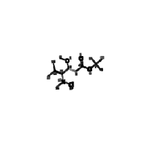 CO[C@H](CC(=O)OC(C)(C)C)[C@H](C(C)C)N(C)Cl